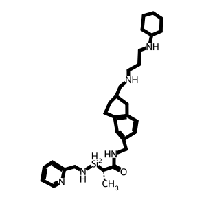 C[C@H]([SiH2]NCc1ccccn1)C(=O)NCc1ccc2c(c1)CCC(CNCCCNC1CCCCC1)C2